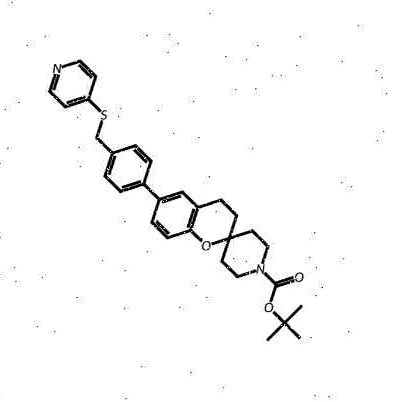 CC(C)(C)OC(=O)N1CCC2(CCc3cc(-c4ccc(CSc5ccncc5)cc4)ccc3O2)CC1